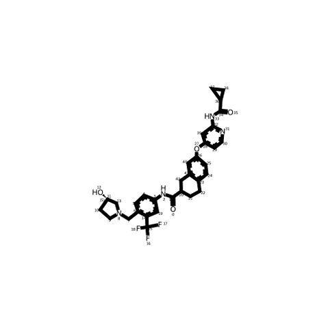 O=C(Nc1ccc(CN2CC[C@H](O)C2)c(C(F)(F)F)c1)C1CCc2ccc(Oc3ccnc(NC(=O)C4CC4)c3)cc2C1